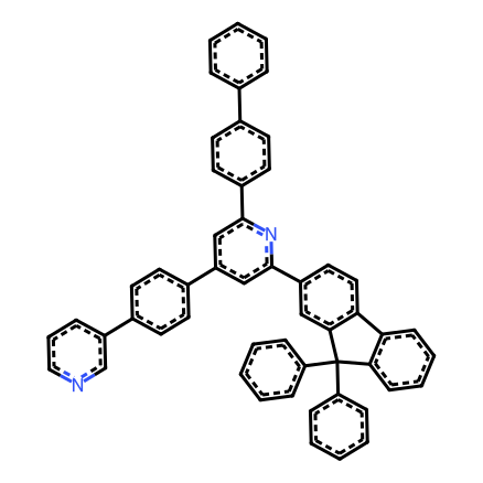 c1ccc(-c2ccc(-c3cc(-c4ccc(-c5cccnc5)cc4)cc(-c4ccc5c(c4)C(c4ccccc4)(c4ccccc4)c4ccccc4-5)n3)cc2)cc1